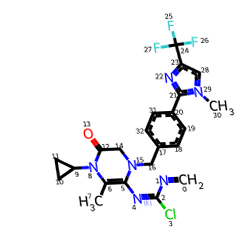 C=N/C(Cl)=N\C1=C(C)N(C2CC2)C(=O)CN1Cc1ccc(-c2nc(C(F)(F)F)cn2C)cc1